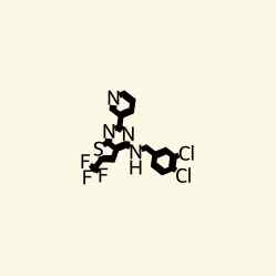 FC(F)(F)c1cc2c(NCc3ccc(Cl)c(Cl)c3)nc(-c3cccnc3)nc2s1